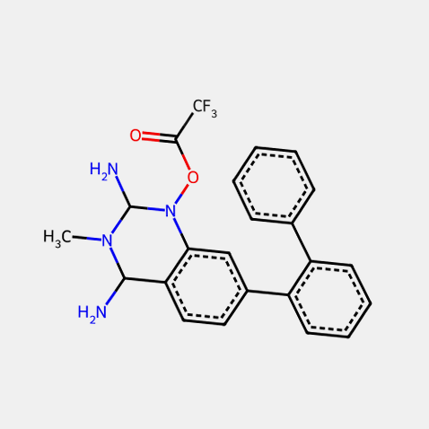 CN1C(N)c2ccc(-c3ccccc3-c3ccccc3)cc2N(OC(=O)C(F)(F)F)C1N